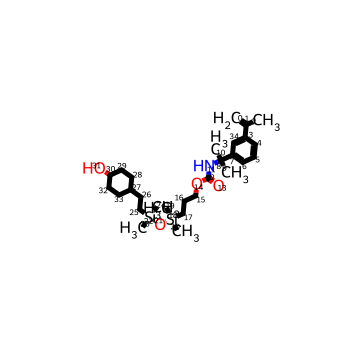 C=C(C)c1cccc(C(C)(C)NC(=O)OCCC[Si](C)(C)O[Si](C)(C)CCC2CCC(O)CC2)c1